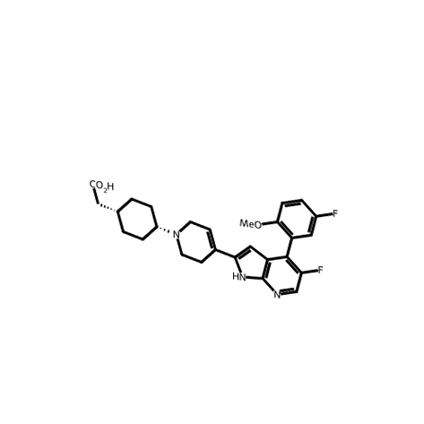 COc1ccc(F)cc1-c1c(F)cnc2[nH]c(C3=CCN([C@H]4CC[C@@H](CC(=O)O)CC4)CC3)cc12